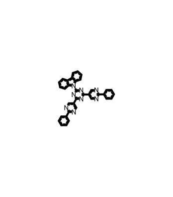 c1ccc(-c2ncc(-c3nc(-c4cnc(-c5ccccc5)nc4)nc(-n4c5ccccc5c5ccccc54)n3)cn2)cc1